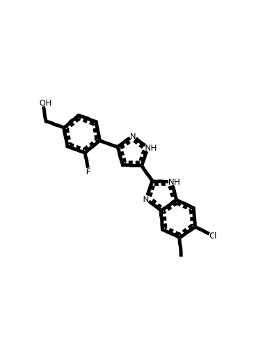 Cc1cc2nc(-c3cc(-c4ccc(CO)cc4F)n[nH]3)[nH]c2cc1Cl